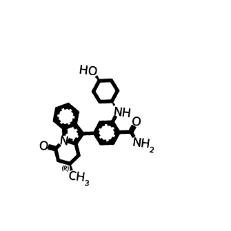 C[C@H]1CC(=O)n2c(c(-c3ccc(C(N)=O)c(N[C@H]4CC[C@H](O)CC4)c3)c3ccccc32)C1